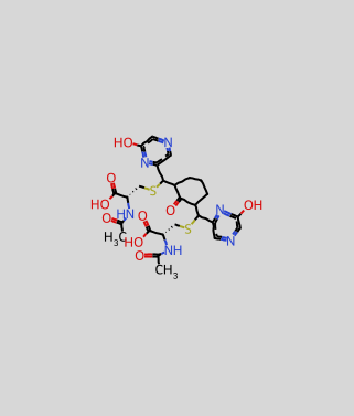 CC(=O)N[C@@H](CSC(c1cncc(O)n1)C1CCCC(C(SC[C@H](NC(C)=O)C(=O)O)c2cncc(O)n2)C1=O)C(=O)O